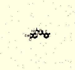 CCN1Cc2c(ccnc2N[C@@H](C)c2ncc(-c3cccc(C)c3F)cn2)C1=O